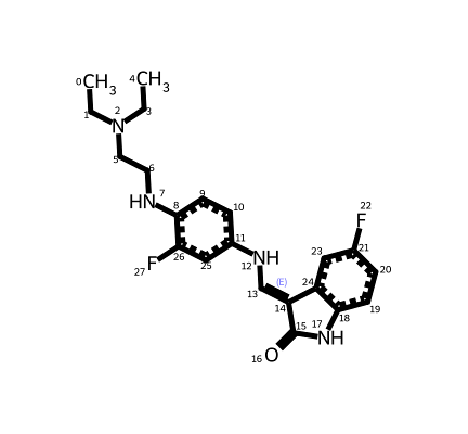 CCN(CC)CCNc1ccc(N/C=C2/C(=O)Nc3ccc(F)cc32)cc1F